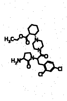 CCOC(=O)[C@H]1CCCC[C@@H]1N1CCN(C(=O)C(Cc2ccc(Cl)cc2Cl)N2CCC(N)C2=O)CC1